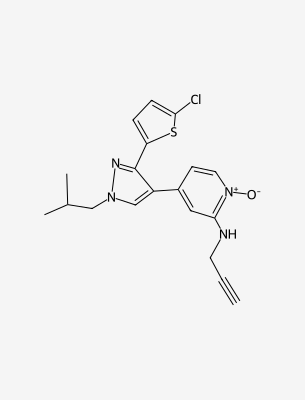 C#CCNc1cc(-c2cn(CC(C)C)nc2-c2ccc(Cl)s2)cc[n+]1[O-]